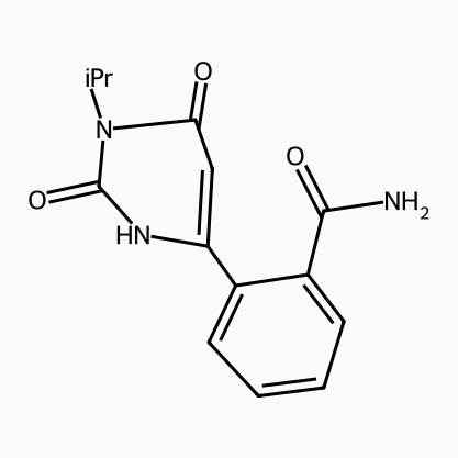 CC(C)n1c(=O)cc(-c2ccccc2C(N)=O)[nH]c1=O